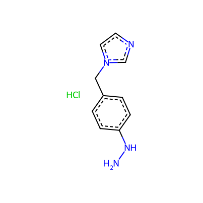 Cl.NNc1ccc(Cn2ccnc2)cc1